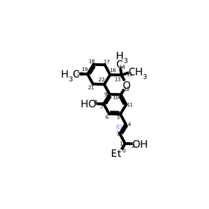 CCC(O)/C=C/c1cc(O)c2c(c1)OC(C)(C)C1CC=C(C)CC21